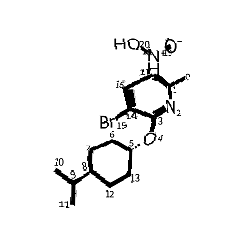 Cc1nc(O[C@H]2CC[C@H](C(C)C)CC2)c(Br)cc1[NH+]([O-])O